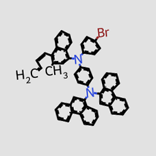 C=C/C=C\c1c(C)cc(N(c2ccc(Br)cc2)c2ccc(N(c3cc4ccccc4c4ccccc34)c3cc4ccccc4c4ccccc34)cc2)c2ccccc12